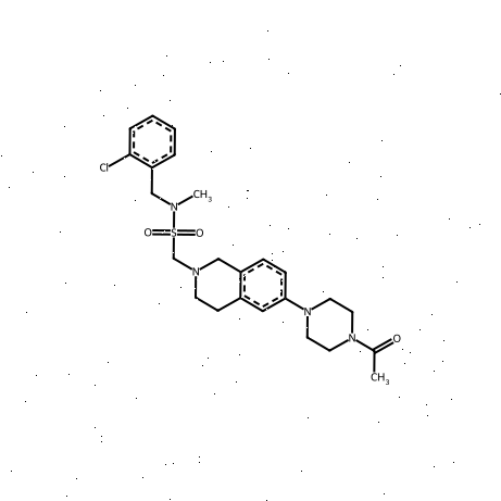 CC(=O)N1CCN(c2ccc3c(c2)CCN(CS(=O)(=O)N(C)Cc2ccccc2Cl)C3)CC1